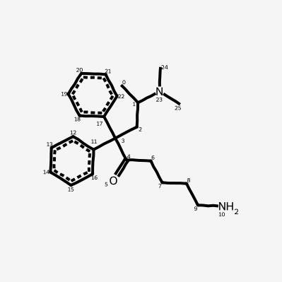 CC(CC(C(=O)CCCCN)(c1ccccc1)c1ccccc1)N(C)C